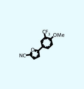 COc1ccc(-c2ccc(C#N)o2)cc1C(F)(F)F